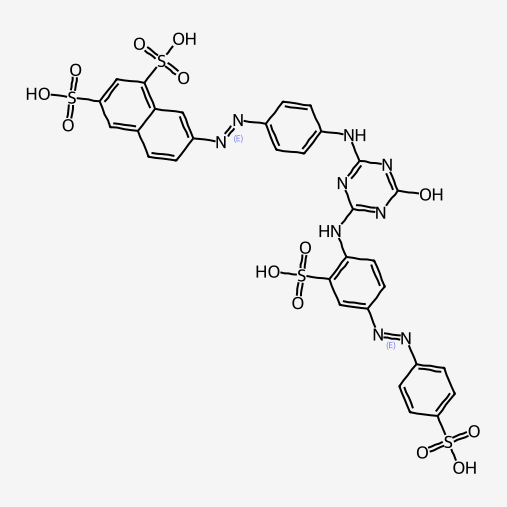 O=S(=O)(O)c1ccc(/N=N/c2ccc(Nc3nc(O)nc(Nc4ccc(/N=N/c5ccc6cc(S(=O)(=O)O)cc(S(=O)(=O)O)c6c5)cc4)n3)c(S(=O)(=O)O)c2)cc1